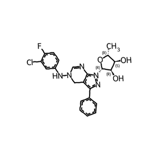 C[C@H]1O[C@@H](n2nc(-c3ccccc3)c3c2N=CN(Nc2ccc(F)c(Cl)c2)C3)[C@H](O)[C@@H]1O